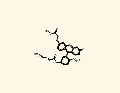 CCOC(=O)c1ccc(NC(=O)COCC(=O)O)cc1-c1c2ccc(=O)cc-2oc2cc(OCC(=O)OC(C)(C)C)ccc12